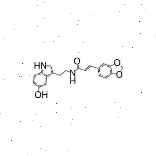 O=C(/C=C/c1ccc2c(c1)OCO2)NCCc1c[nH]c2ccc(O)cc12